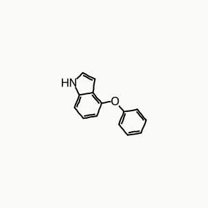 c1ccc(Oc2cccc3[nH]ccc23)cc1